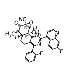 C[C@H]1C(=O)[C@@]2(C#N)O[C@H]2[C@@]2(C)c3nc(-c4ccnc5cc(F)ccc45)nc(-c4ccccc4F)c3CC[C@H]12